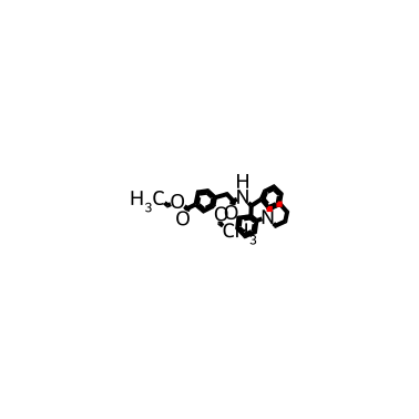 CCOC(=O)c1ccc(CC(=O)NC(c2ccccc2)c2ccccc2N2CCCCC2)c(OCC)c1